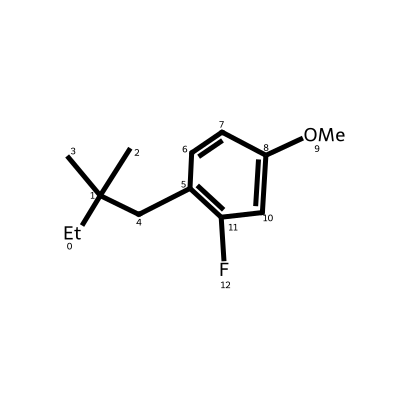 CCC(C)(C)Cc1ccc(OC)cc1F